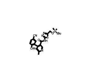 COc1ccc(C#N)cc1-c1cc(C)ncc1C(=O)Nc1nnc(CO[Si](C)(C)C(C)(C)C)s1